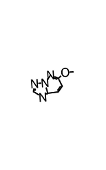 COc1ccc2ncnn2n1